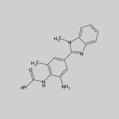 CCCC(=O)Nc1c(C)cc(-c2nc3ccccc3n2C)cc1N